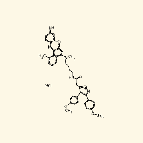 COc1ccc(-c2noc(CC(=O)NCCCCN(C)c3cc4oc5cc(=N)ccc-5nc4c4c(C)cccc34)c2-c2ccc(OC)cc2)cc1.Cl